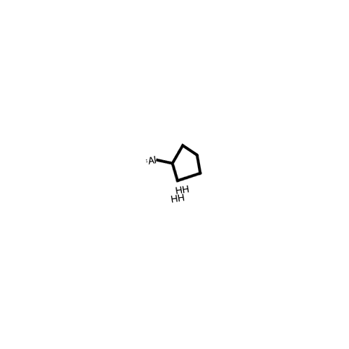 [Al][CH]1CCCC1.[HH].[HH]